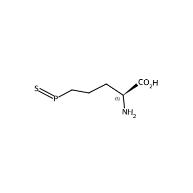 N[C@@H](CCCP=S)C(=O)O